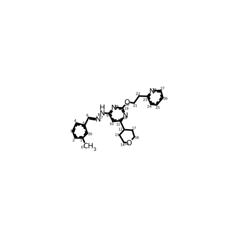 Cc1cccc(C=NNc2cc(C3CCOCC3)nc(OCCc3ccccn3)n2)c1